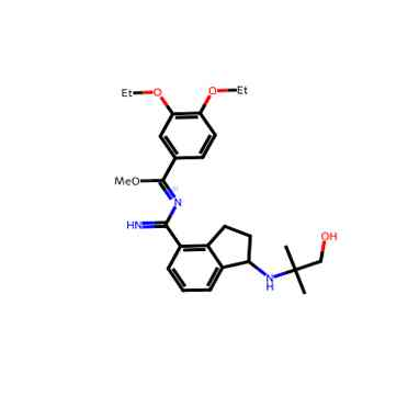 CCOc1ccc(/C(=N/C(=N)c2cccc3c2CCC3NC(C)(C)CO)OC)cc1OCC